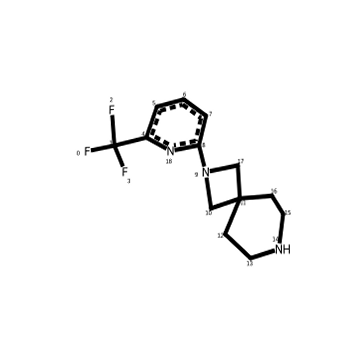 FC(F)(F)c1cccc(N2CC3(CCNCC3)C2)n1